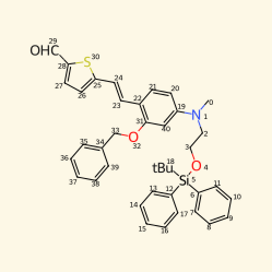 CN(CCO[Si](c1ccccc1)(c1ccccc1)C(C)(C)C)c1ccc(/C=C/c2ccc(C=O)s2)c(OCc2ccccc2)c1